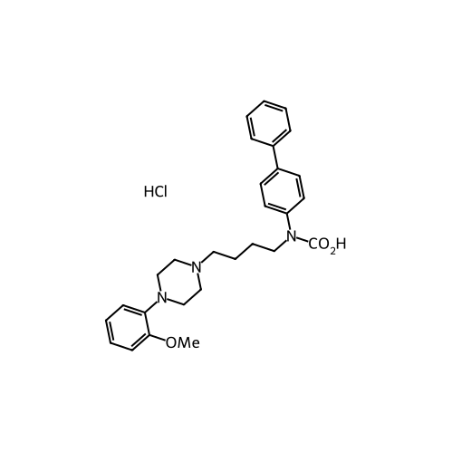 COc1ccccc1N1CCN(CCCCN(C(=O)O)c2ccc(-c3ccccc3)cc2)CC1.Cl